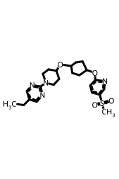 CCc1cnc(N2CCC(OC3CCC(Oc4ccc(S(C)(=O)=O)cn4)CC3)CC2)nc1